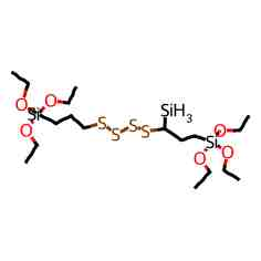 CCO[Si](CCCSSSSC([SiH3])CC[Si](OCC)(OCC)OCC)(OCC)OCC